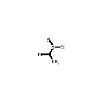 CCC(C)[SiH](Cl)CC